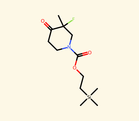 CC1(F)CN(C(=O)OCC[Si](C)(C)C)CCC1=O